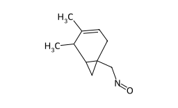 CC1=CCC2(CN=O)CC2C1C